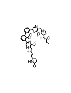 CCC(=O)NC1CCN(Cc2ncc(-c3cccc(-c4cccc(-c5cnc(CN/C=C/C6CCC(=O)N6)c(OC)n5)c4Cl)c3Cl)nc2OC)C1